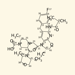 CC(C)C(=O)Nc1nc2c(cc1Cc1ccc(F)cc1)N(C(=O)CN1C[C@@H](C)N(C(=O)O)C[C@@H]1CN1[C@H](C)COC[C@H]1C)[C@@H](C)CO2